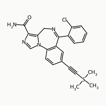 CS(C)(C)C#Cc1ccc2c(c1)C(c1ccccc1Cl)=NCc1c(C(N)=O)ncn1-2